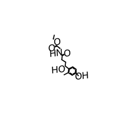 CCOC(=O)CNC(=O)CCC(O)c1ccc(O)cc1C